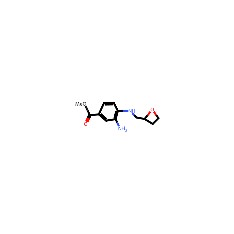 COC(=O)c1ccc(NCC2CCO2)c(N)c1